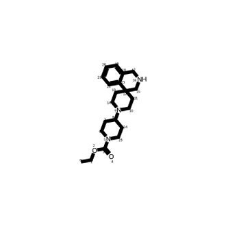 CCOC(=O)N1CCC(N2CCC3(CC2)CNCc2ccccc23)CC1